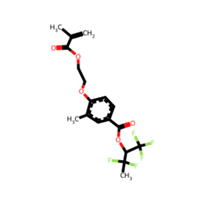 C=C(C)C(=O)OCCOc1ccc(C(=O)OC(C(C)(F)F)C(F)(F)F)cc1C